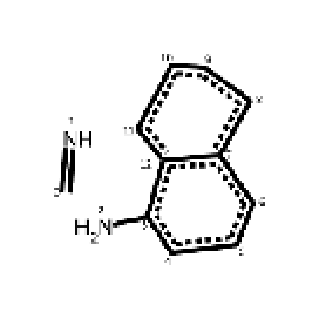 C=N.Nc1cccc2ccccc12